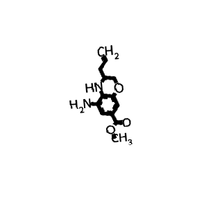 C=CCC1COc2cc(C(=O)OC)cc(N)c2N1